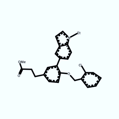 CCn1ccc2cc(-c3cc(CCC(=O)OC)ccc3OCc3ccccc3Cl)ccc21